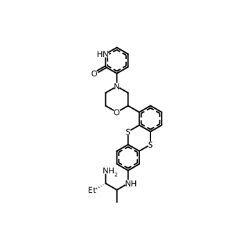 CC[C@H](N)C(C)Nc1ccc2c(c1)Sc1cccc(C3CN(c4ccc[nH]c4=O)CCO3)c1S2